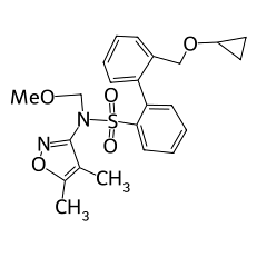 COCN(c1noc(C)c1C)S(=O)(=O)c1ccccc1-c1ccccc1COC1CC1